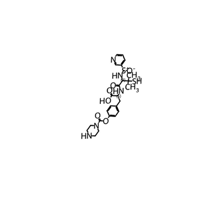 CC(C)(S)[C@H](N[S+]([O-])c1cccnc1)C(=O)N[C@@H](Cc1ccc(OC(=O)N2CCNCC2)cc1)C(=O)O